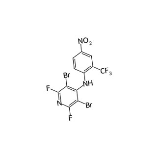 O=[N+]([O-])c1ccc(Nc2c(Br)c(F)nc(F)c2Br)c(C(F)(F)F)c1